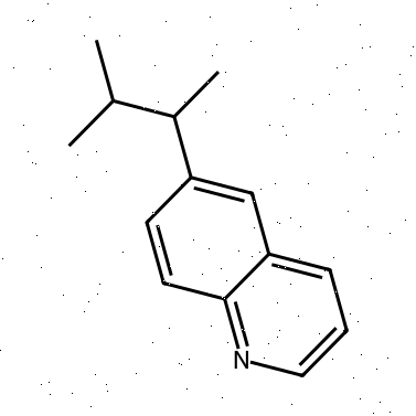 CC(C)C(C)c1ccc2ncccc2c1